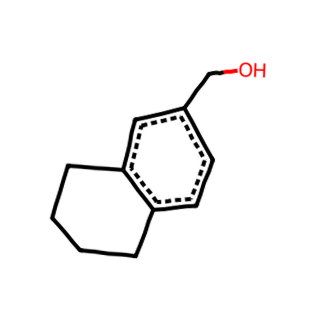 OCc1ccc2c(c1)CCCC2